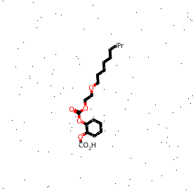 CC(C)CCCCCCOCCOC(=O)OC1CCCCC1OC(=O)O